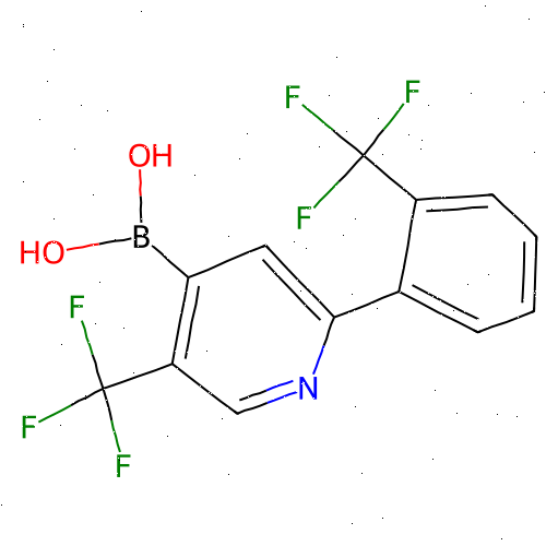 OB(O)c1cc(-c2ccccc2C(F)(F)F)ncc1C(F)(F)F